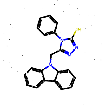 Sc1nnc(Cn2c3ccccc3c3ccccc32)n1-c1ccccc1